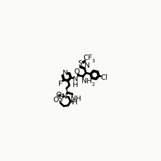 NC(C(=O)Nc1cncc(F)c1CC[C@H]1CN[C@@H]2CCCS(=O)(=O)N1C2)C(c1ccc(Cl)cc1)c1csc(C(F)(F)F)n1